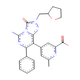 Cc1cc(-c2c(-c3ccccc3)nc(N)n3c(=O)n(CC4CCCO4)nc23)cc(C(=O)O)n1